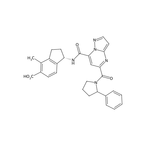 Cc1c(C(=O)O)ccc2c1CC[C@@H]2NC(=O)c1cc(C(=O)N2CCCC2c2ccccc2)nc2ccnn12